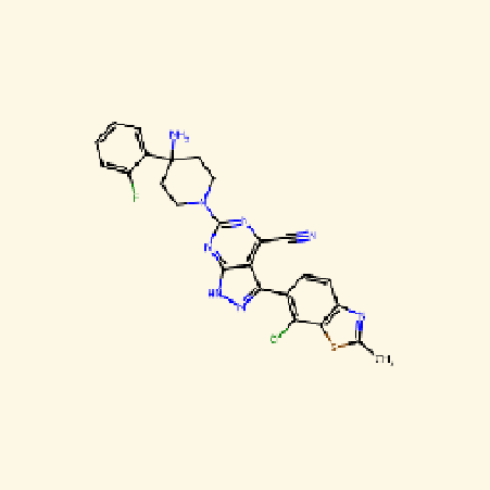 Cc1nc2ccc(-c3n[nH]c4nc(N5CCC(N)(c6ccccc6F)CC5)nc(C#N)c34)c(Cl)c2s1